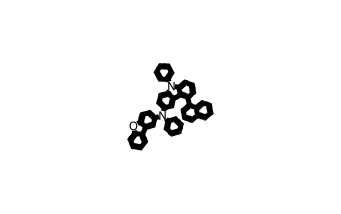 c1ccc(N(c2ccc3oc4ccccc4c3c2)c2ccc3c(c2)c2c(-c4cccc5ccccc45)cccc2n3-c2ccccc2)cc1